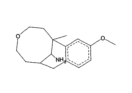 COc1ccc2c(c1)C1(C)CCOCCC(C2)C1N